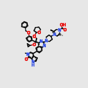 C[C@@H]1CN(C2CCN(c3nc([C@](COC4CCCCO4)(OC4CC4)c4cccc(OCc5ccccc5)c4)c4cc(-c5cn(C)c(=O)c6[nH]ccc56)ccc4n3)CC2)[C@@H](C)CN1C(=O)O